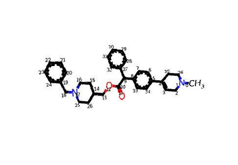 CN1CC=C(c2ccc(C(C(=O)OCC3CCN(Cc4ccccc4)CC3)c3ccccc3)cc2)CC1